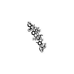 CCOC(=O)[C@H](Cc1ccc(-n2c(=O)c3ccncc3n(C)c2=O)c(OC(F)(F)F)c1)NC(=O)c1c(C)cc(N2CCOC[C@@H]2C(F)(F)F)cc1F